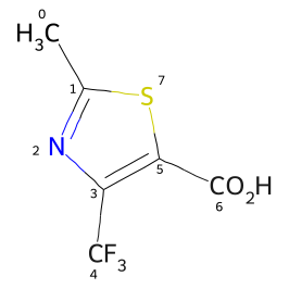 Cc1nc(C(F)(F)F)c(C(=O)O)s1